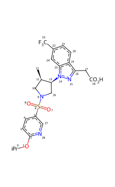 CC(C)Oc1ccc(S(=O)(=O)N2C[C@@H](C)[C@@H](n3nc(CC(=O)O)c4ccc(C(F)(F)F)cc43)C2)cn1